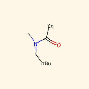 [CH2]CCCCN(C)C(=O)CC